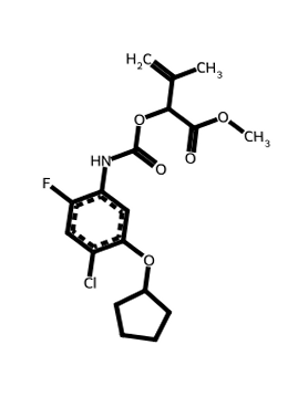 C=C(C)C(OC(=O)Nc1cc(OC2CCCC2)c(Cl)cc1F)C(=O)OC